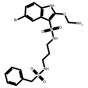 NCOc1[nH]c2ccc(Br)cc2c1S(=O)(=O)NCCCNS(=O)(=O)Cc1ccccc1